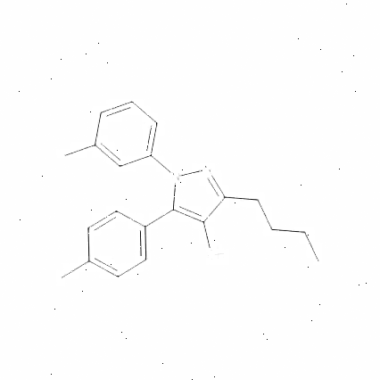 CCCCc1nn(-c2cccc(C)c2)c(-c2ccc(C)cc2)c1O